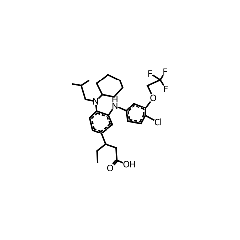 CCC(CC(=O)O)c1ccc(N(CC(C)C)C2CCCCC2)c(Nc2ccc(Cl)c(OCC(F)(F)F)c2)c1